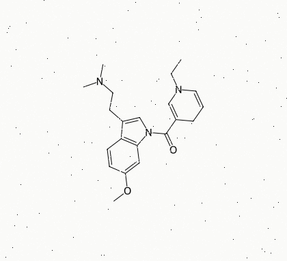 CCN1C=CCC(C(=O)n2cc(CCN(C)C)c3ccc(OC)cc32)=C1